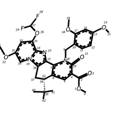 COC(=O)c1cc2c(n(Cc3ccc(OC)cc3OC)c1=O)-c1nc3c(OC(F)F)cc(OC)cn3c1C[C@H]2C(C)(C)C